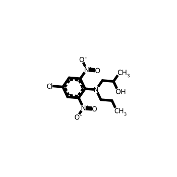 CCCN(CC(C)O)c1c([N+](=O)[O-])cc(Cl)cc1[N+](=O)[O-]